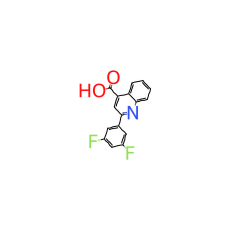 O=C(O)c1cc(-c2cc(F)cc(F)c2)nc2ccccc12